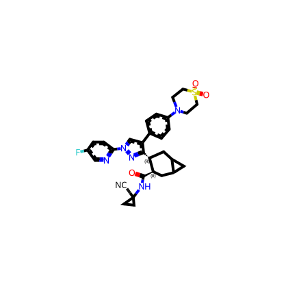 N#CC1(NC(=O)[C@@H]2CC3CC3C[C@H]2c2nn(-c3ccc(F)cn3)cc2-c2ccc(N3CCS(=O)(=O)CC3)cc2)CC1